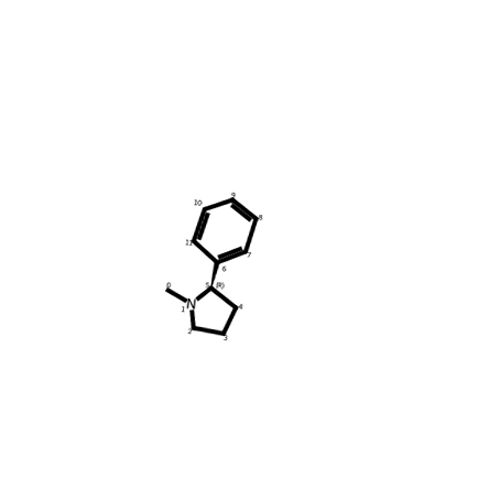 CN1CCC[C@@H]1c1cc[c]cc1